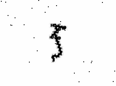 CC/C=C\C/C=C\C/C=C\CCCCCCCC(=O)OCC(COC)COC1CC(O)CC(CN=O)O1